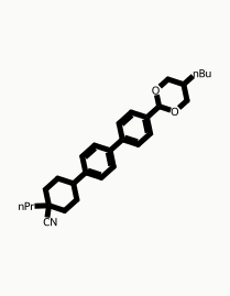 CCCCC1COC(c2ccc(-c3ccc(C4CCC(C#N)(CCC)CC4)cc3)cc2)OC1